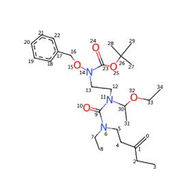 C=C(CC)CCN(CC)C(=O)N(CCN(OCc1ccccc1)C(=O)OC(C)(C)C)C(C)OCC